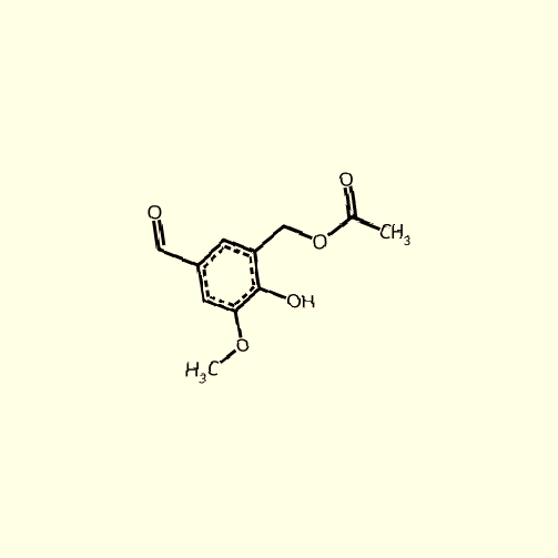 COc1cc(C=O)cc(COC(C)=O)c1O